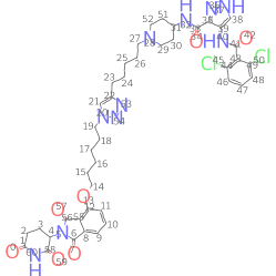 O=C1CCC(N2C(=O)c3cccc(OCCCCCCn4cc(CCCCCN5CCC(NC(=O)c6n[nH]cc6NC(=O)c6c(Cl)cccc6Cl)CC5)nn4)c3C2=O)C(=O)N1